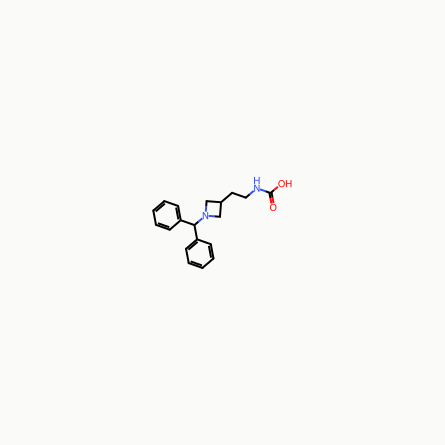 O=C(O)NCCC1CN(C(c2ccccc2)c2ccccc2)C1